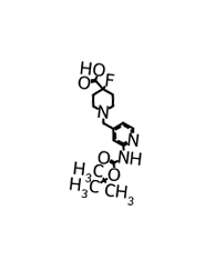 CC(C)(C)OC(=O)Nc1cc(CN2CCC(F)(C(=O)O)CC2)ccn1